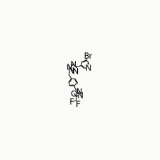 FC(F)c1nnc(-c2ccc(Cn3nnc(-c4cncc(Br)c4)n3)cc2)o1